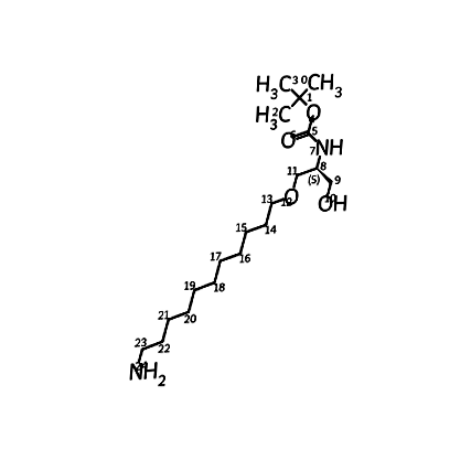 CC(C)(C)OC(=O)N[C@@H](CO)COCCCCCCCCCCCN